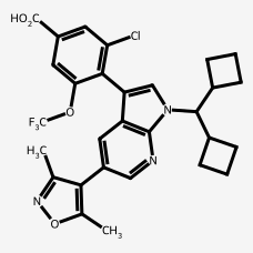 Cc1noc(C)c1-c1cnc2c(c1)c(-c1c(Cl)cc(C(=O)O)cc1OC(F)(F)F)cn2C(C1CCC1)C1CCC1